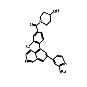 CC(C)(C)c1cc(-c2cc(-c3ccc(C(=O)N4CCC(O)CC4)cc3Cl)c3ccncc3c2)ccn1